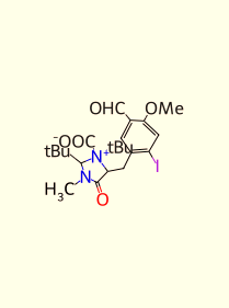 COc1cc(I)c(CC2C(=O)N(C)C(C(C)(C)C)[N+]2(C(=O)[O-])C(C)(C)C)cc1C=O